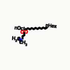 CCCCCC/C=C\CCCCCCCCCC(CCCCCCCC)OC(=O)CCCN(C)C